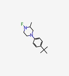 CC1CN(c2ccc(C(C)(C)C)cc2)CCN1F